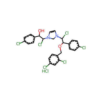 Cl.OC(c1ccc(Cl)cc1)C(Cl)N1C=CN(C(Cl)C(OCc2ccc(Cl)cc2Cl)c2ccc(Cl)cc2)C1